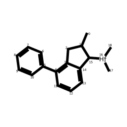 CC1Cc2c(-c3ccccc3)cccc2[CH]1[Hf]([CH3])[CH3]